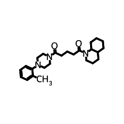 Cc1ccccc1N1CCN(C(=O)CCCC(=O)N2CCCC3CCCCC32)CC1